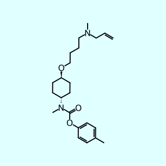 C=CCN(C)CCCCO[C@H]1CC[C@H](N(C)C(=O)Oc2ccc(C)cc2)CC1